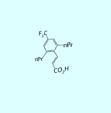 CCCc1cc(C(F)(F)F)cc(CCC)c1/C=C/C(=O)O